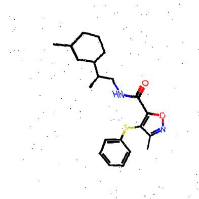 Cc1noc(C(=O)NCC(C)C2CCCC(C)C2)c1Sc1ccccc1